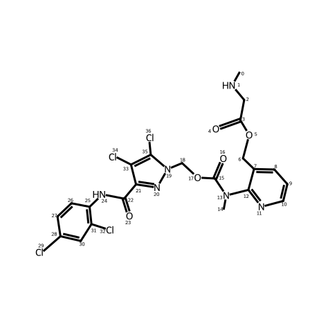 CNCC(=O)OCc1cccnc1N(C)C(=O)OCn1nc(C(=O)Nc2ccc(Cl)cc2Cl)c(Cl)c1Cl